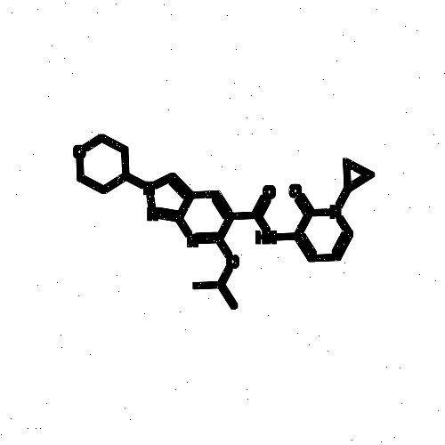 CC(C)Oc1nc2nn(C3CCOCC3)cc2cc1C(=O)Nc1cccn(C2CC2)c1=O